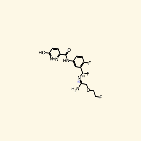 N/C(COCCF)=N/[C@H](F)c1cc(NC(=O)c2ccc(O)nn2)ccc1F